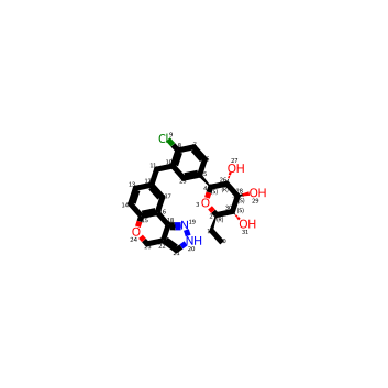 CC[C@H]1O[C@@H](c2ccc(Cl)c(Cc3ccc4c(c3)-c3n[nH]cc3CO4)c2)[C@H](O)[C@@H](O)[C@@H]1O